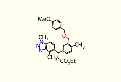 CCOC(=O)CC(c1ccc(C)c(COCc2ccc(OC)cc2)c1)c1ccc2c(nnn2C)c1C